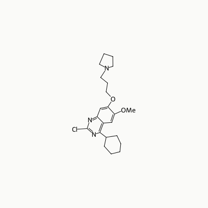 COc1cc2c(C3CCCCC3)nc(Cl)nc2cc1OCCCN1CCCC1